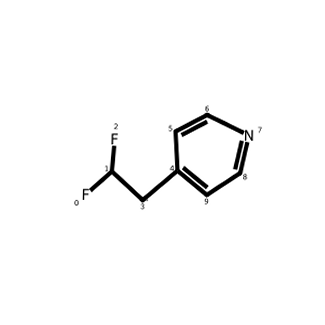 FC(F)[CH]c1ccncc1